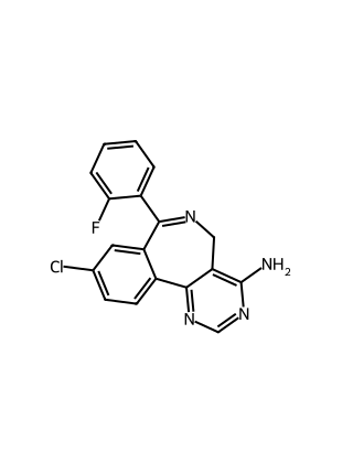 Nc1ncnc2c1CN=C(c1ccccc1F)c1cc(Cl)ccc1-2